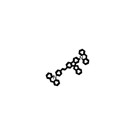 C(=C\c1ccc2c(c1)C1(Cc3ccccc3C1)c1cc(N3c4ccccc4Cc4ccccc43)ccc1-2)/c1ccc(N2c3ccccc3Cc3ccccc32)cc1